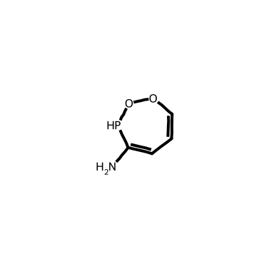 Nc1cccoo[pH]1